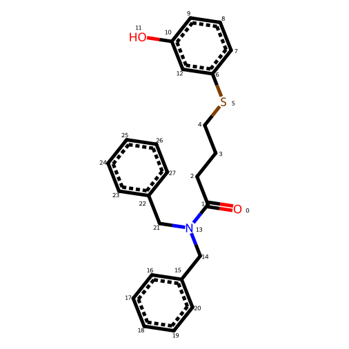 O=C(CCCSc1cccc(O)c1)N(Cc1ccccc1)Cc1ccccc1